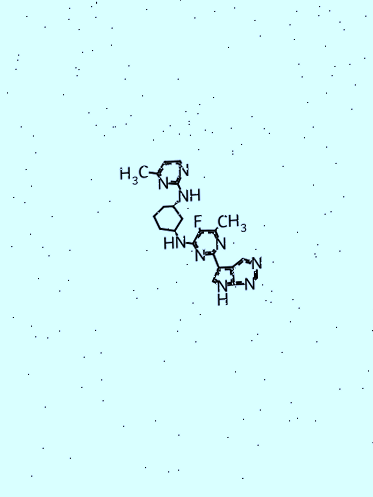 Cc1ccnc(N[C@@H]2CCC[C@H](Nc3nc(-c4c[nH]c5ncncc45)nc(C)c3F)C2)n1